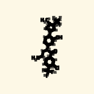 Cn1nc(-c2ccc(N(CCN)C(=O)c3ccc(C(F)(F)F)c(Cl)c3)cc2O)cc1C(F)(F)F